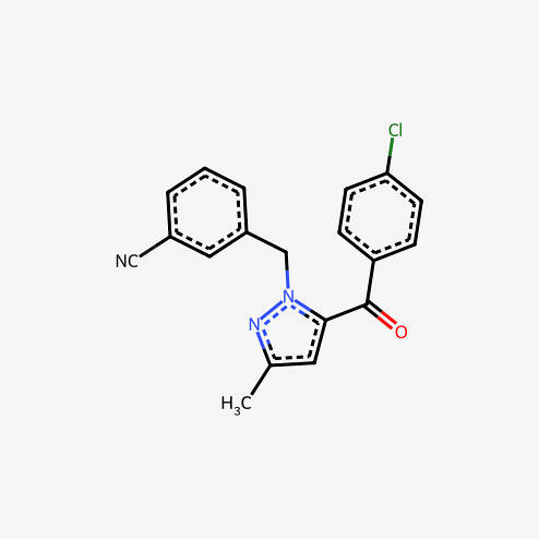 Cc1cc(C(=O)c2ccc(Cl)cc2)n(Cc2cccc(C#N)c2)n1